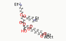 CC/C=C\CCCCOC(CCC(=O)OCC(CO)COC(=O)CCCCCCC(=O)OC(CC)CCCCCCCC)OCCCC/C=C\CC